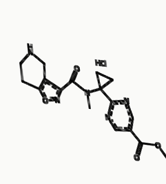 COC(=O)c1cnc(C2(N(C)C(=O)c3noc4c3CNCC4)CC2)nc1.Cl